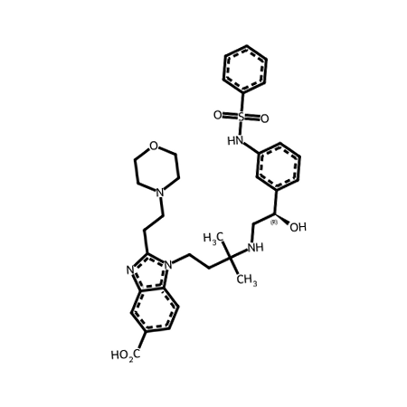 CC(C)(CCn1c(CCN2CCOCC2)nc2cc(C(=O)O)ccc21)NC[C@H](O)c1cccc(NS(=O)(=O)c2ccccc2)c1